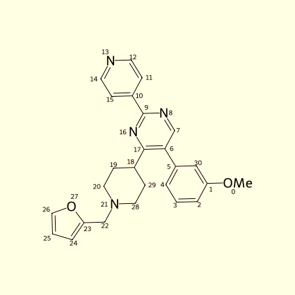 COc1cccc(-c2cnc(-c3ccncc3)nc2C2CCN(Cc3ccco3)CC2)c1